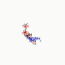 CCOc1nc(N)nc2c1ncn2[C@@H]1O[C@@H]2CO[P@@](=O)(OCCCC(=O)OC(C)C)O[C@H]2[C@@]1(C)N